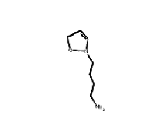 NCCCCN1C=CCO1